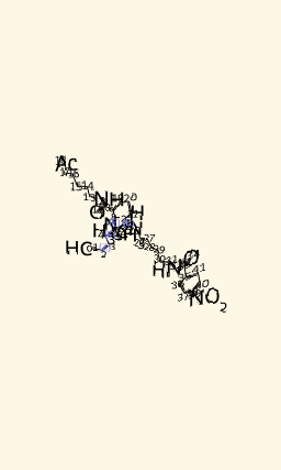 C#C\C=C/C=C(C)/N=C1/C(C(=O)NCCCCCC(C)=O)=CC=C/C1=C(/C)NCCCCCCNC(=O)c1ccc([N+](=O)[O-])cc1